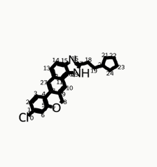 Clc1ccc2c(c1)OCc1cc3c(ccc4nc(CCC5CCCC5)[nH]c43)cc1-2